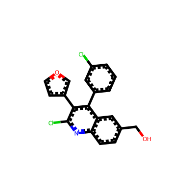 OCc1ccc2nc(Cl)c(-c3ccoc3)c(-c3cccc(Cl)c3)c2c1